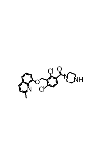 Cc1ccc2cccc(OCc3c(Cl)ccc(C(=O)N4CCNCC4)c3Cl)c2n1